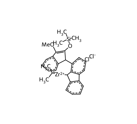 COC1=C(O[Si](C)(C)C)C(c2cccc3c2[CH]([Zr+2]=[C](C)C)c2ccccc2-3)c2ccccc21.[Cl-].[Cl-]